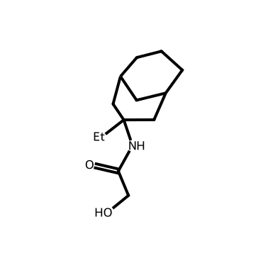 CCC1(NC(=O)CO)CC2CCCC(C2)C1